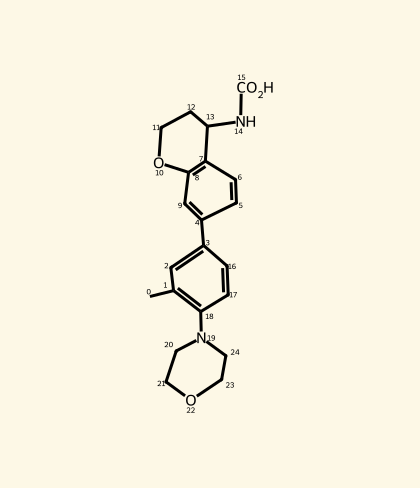 Cc1cc(-c2ccc3c(c2)OCCC3NC(=O)O)ccc1N1CCOCC1